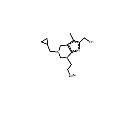 COCCN1CN(CC2CC2)Cc2c1sc(CO)c2C